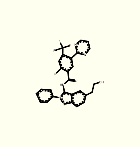 O=C(Nc1c2cc(CCO)ccc2nn1-c1ccccc1)c1cc(-c2ncccn2)c(C(F)(F)F)cc1F